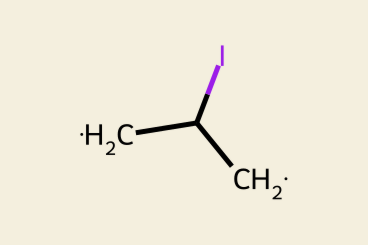 [CH2]C([CH2])I